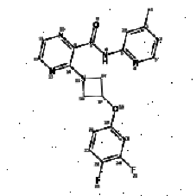 Cc1ccnc(NC(=O)c2nccnc2N2CC(Oc3ccc(F)c(F)c3)C2)c1